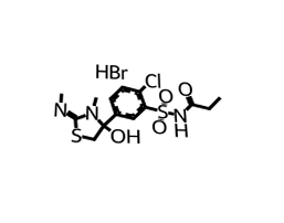 Br.CCC(=O)NS(=O)(=O)c1cc(C2(O)CSC(=NC)N2C)ccc1Cl